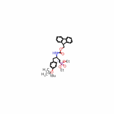 CCOP(=O)(/C=C/C(Cc1ccc(O[Si](C)(C)C(C)(C)C)cc1)NC(=O)OCC1c2ccccc2-c2ccccc21)OCC